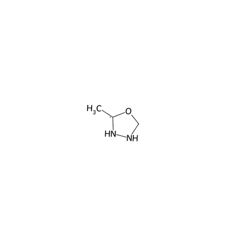 C[C]1NNCO1